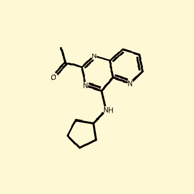 CC(=O)c1nc(NC2CCCC2)c2ncccc2n1